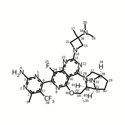 Cc1nc(N)nc(-c2nc3c4c(nc(N5CC(C)(N(C)C)C5)nc4c2F)N2C[C@H]4CC[C@H](N4)[C@H]2[C@H](C)O3)c1C(F)(F)F